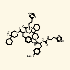 CCOC1(C2CCCCC2)CCN(C(=O)C(Cc2ccc(OC)cc2)N(OC(=O)C2(C3CCCCC3)CCN(C(=O)C(Cc3ccc(OC)cc3)NC(=O)NCCc3c[nH]cn3)CC2)C(=O)NCCc2c[nH]cn2)CC1